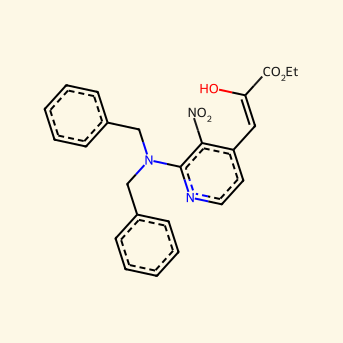 CCOC(=O)/C(O)=C/c1ccnc(N(Cc2ccccc2)Cc2ccccc2)c1[N+](=O)[O-]